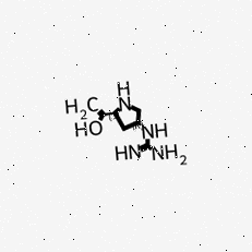 C=C(O)[C@@H]1C[C@@H](NC(=N)N)CN1